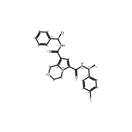 CC[C@@H](NC(=O)c1cc(C(=O)N[C@@H](C)c2ccc(F)cc2)n2c1COCC2)c1ccccc1